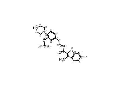 Cc1ccc2c(N)c(C(=O)NCCc3ccc(N4CCNCC4)c(OC(F)F)c3)sc2n1